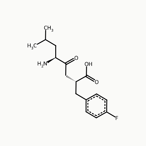 CC(C)C[C@H](N)C(=O)C[C@@H](Cc1ccc(F)cc1)C(=O)O